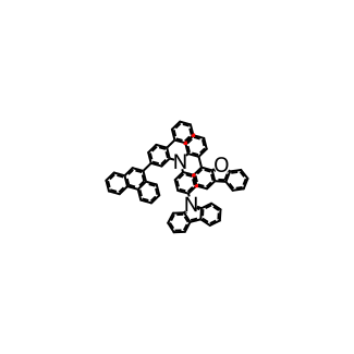 c1ccc(-c2ccc(-c3cc4ccccc4c4ccccc34)cc2N(c2ccc(-n3c4ccccc4c4ccccc43)cc2)c2ccccc2-c2cccc3c2oc2ccccc23)cc1